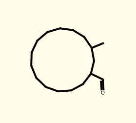 CC1CCCCCCCCCCCCC(C=O)C1